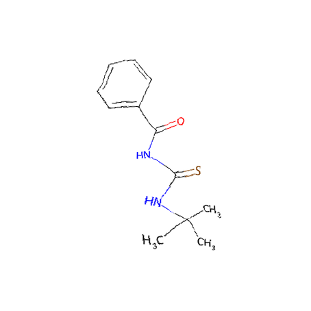 CC(C)(C)NC(=S)NC(=O)c1ccccc1